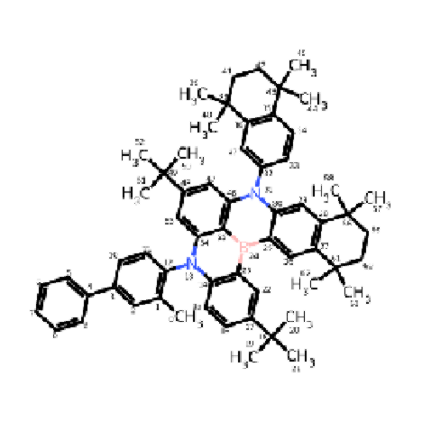 Cc1cc(-c2ccccc2)ccc1N1c2ccc(C(C)(C)C)cc2B2c3cc4c(cc3N(c3ccc5c(c3)C(C)(C)CCC5(C)C)c3cc(C(C)(C)C)cc1c32)C(C)(C)CCC4(C)C